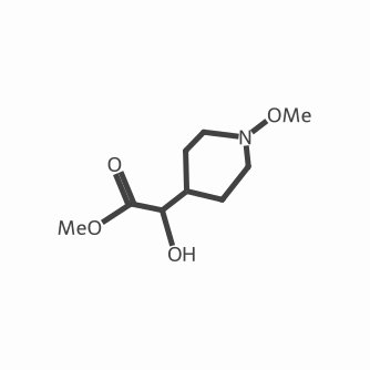 COC(=O)C(O)C1CCN(OC)CC1